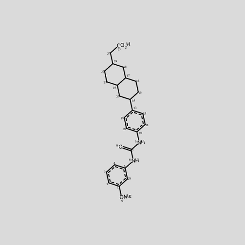 COc1cccc(NC(=O)Nc2ccc(C3CCC4CC(CC(=O)O)CCC4C3)cc2)c1